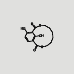 O=C1OCCCCCCOC(=O)c2c(O)ccc1c2O